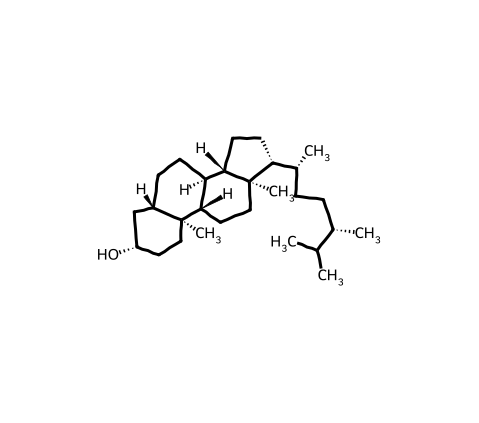 CC(C)[C@@H](C)CC[C@@H](C)[C@H]1CC[C@H]2[C@@H]3CC[C@H]4C[C@@H](O)CC[C@]4(C)[C@H]3CC[C@]12C